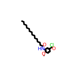 CCCCCCCCCCCCCCCC(=O)Nc1cc(C(=O)Cl)ccc1OC